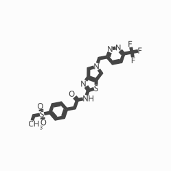 CCS(=O)(=O)c1ccc(CC(=O)Nc2nc3c(s2)CN(Cc2ccc(C(F)(F)F)nn2)C3)cc1